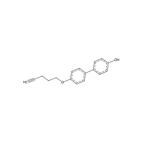 C#CCCCOc1ccc(-c2ccc(O)cc2)cc1